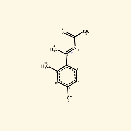 C=C(/N=C(\C)c1ccc(C(F)(F)F)cc1C)C(C)(C)C